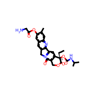 CC[C@@]1(OC(=O)NC(C)C)C(=O)OCc2c1cc1n(c2=O)Cc2cc3cc(OC(=O)CN)c(C)cc3nc2-1